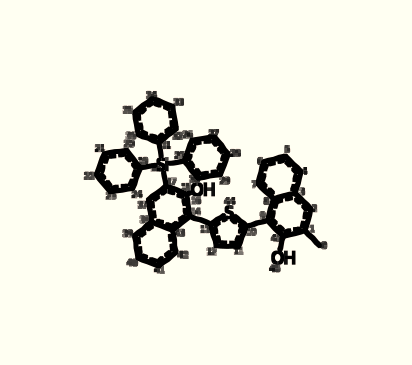 Cc1cc2ccccc2c(-c2ccc(-c3c(O)c([Si](c4ccccc4)(c4ccccc4)c4ccccc4)cc4ccccc34)s2)c1O